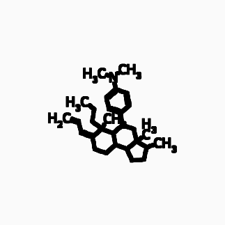 C=C/C=C1/CCC2C(C(c3ccc(N(C)C)cc3)CC3(C)C(C)CCC23)C1(C)CCC